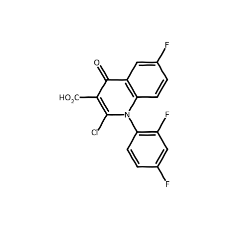 O=C(O)c1c(Cl)n(-c2ccc(F)cc2F)c2ccc(F)cc2c1=O